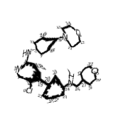 Clc1cnc(N[C@H]2CC[C@H](N3CCOCC3)CC2)cc1-c1cccc(NCC2CCOCC2)c1